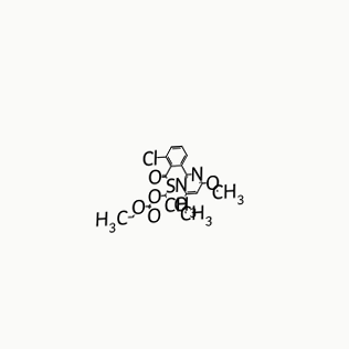 CCOC(=O)OC(C)SC(=O)c1c(Cl)cccc1-c1nc(OC)cc(OC)n1